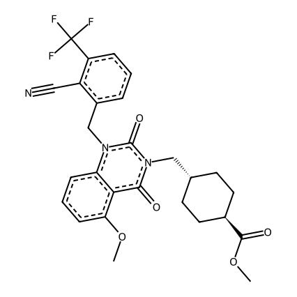 COc1cccc2c1c(=O)n(C[C@H]1CC[C@H](C(=O)OC)CC1)c(=O)n2Cc1cccc(C(F)(F)F)c1C#N